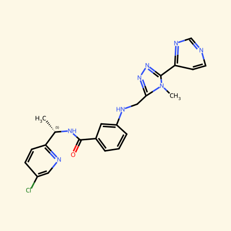 C[C@H](NC(=O)c1cccc(NCc2nnc(-c3ccncn3)n2C)c1)c1ccc(Cl)cn1